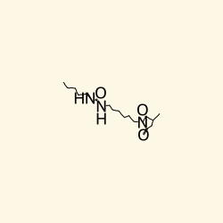 CCCCCNC(=O)NCCCCCCN1C(=O)CC(C)C1=O